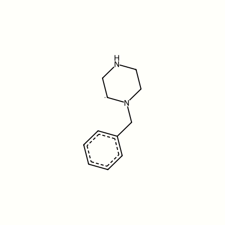 [CH]1CNCCN1Cc1ccccc1